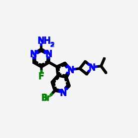 CC(C)N1CC(n2cc(-c3nc(N)ncc3F)c3cc(Br)ncc32)C1